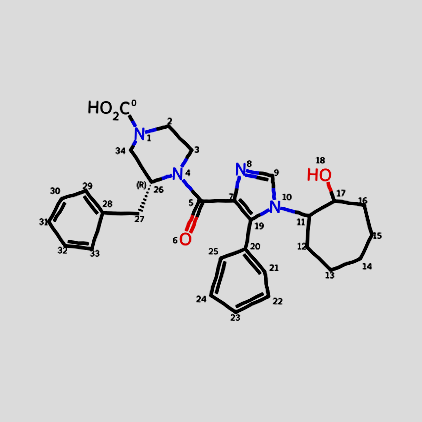 O=C(O)N1CCN(C(=O)c2ncn(C3CCCCCC3O)c2-c2ccccc2)[C@H](Cc2ccccc2)C1